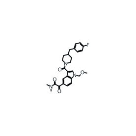 COCn1cc(C(=O)N2CCC(Cc3ccc(F)cc3)CC2)c2cc(C(=O)C(=O)N(C)C)ccc21